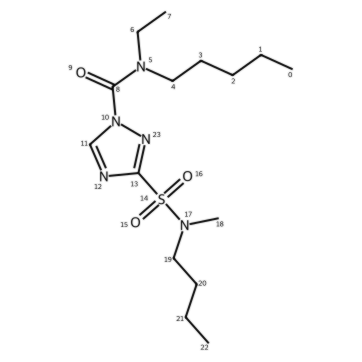 CCCCCN(CC)C(=O)n1cnc(S(=O)(=O)N(C)CCCC)n1